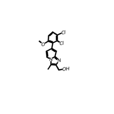 COc1ccc(Cl)c(Cl)c1-c1ccn2c(C)c(CO)nc2c1